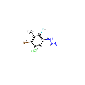 Cl.NNc1ccc(Br)c(C(F)(F)F)c1F